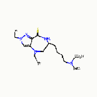 CCCCN(CCCCC1CN(CC(C)C)c2cn(CC(C)C)nc2C(=S)N1)C(=O)O